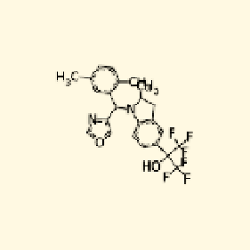 Cc1ccc(C)c(C(c2cocn2)N2c3ccc(C(O)(C(F)(F)F)C(F)(F)F)cc3CC2C)c1